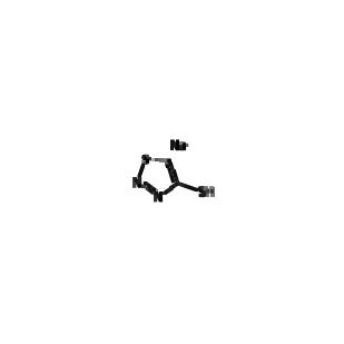 Sc1csnn1.[Na]